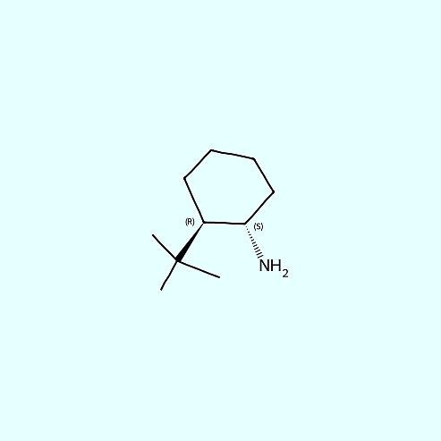 CC(C)(C)[C@H]1CCCC[C@@H]1N